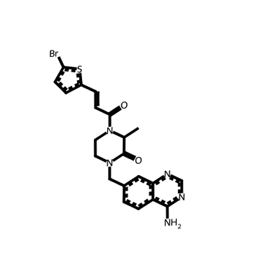 CC1C(=O)N(Cc2ccc3c(N)ncnc3c2)CCN1C(=O)/C=C/c1ccc(Br)s1